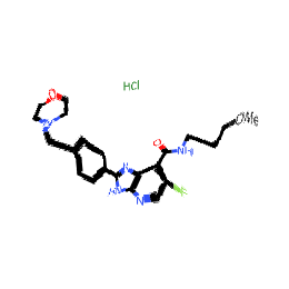 COCCCNC(=O)c1c(F)cnc2[nH]c(-c3ccc(CN4CCOCC4)cc3)nc12.Cl